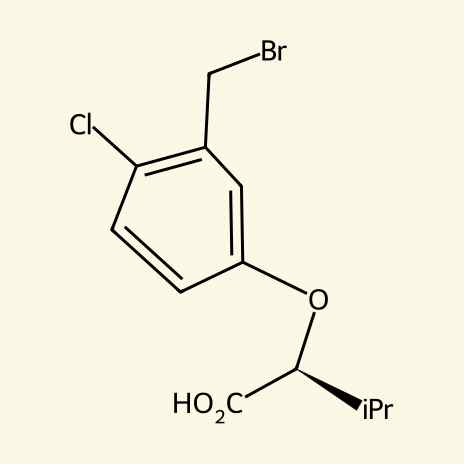 CC(C)[C@H](Oc1ccc(Cl)c(CBr)c1)C(=O)O